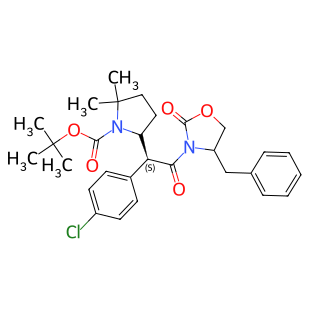 CC(C)(C)OC(=O)N1C([C@@H](C(=O)N2C(=O)OCC2Cc2ccccc2)c2ccc(Cl)cc2)CCC1(C)C